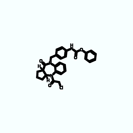 O=C(Nc1ccc(CN2C(=O)[C@H]3CCC[C@H]3N(C(=O)CCl)c3ccccc32)cc1)Oc1ccccc1